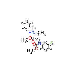 COC(=O)/C(CN(C(=O)OC)c1cccc(F)c1)=C(/C)NCc1ccccc1